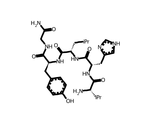 CC(C)C[C@H](NC(=O)[C@H](Cc1c[nH]cn1)NC(=O)[C@@H](N)C(C)C)C(=O)N[C@@H](Cc1ccc(O)cc1)C(=O)NCC(N)=O